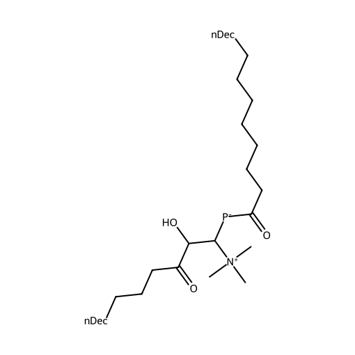 CCCCCCCCCCCCCCCCCC(=O)[P-]C(C(O)C(=O)CCCCCCCCCCCCC)[N+](C)(C)C